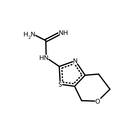 N=C(N)Nc1nc2c(s1)COCC2